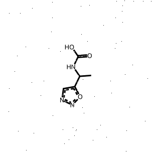 CC(NC(=O)O)c1cnno1